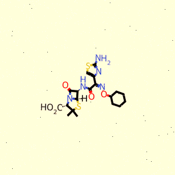 CC1(C)S[C@@H]2[C@@H](NC(=O)/C(=N\OC3CCCCC3)c3csc(N)n3)C(=O)N2[C@H]1C(=O)O